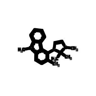 Cc1ccc2c(c1N1C=CN(C)C1(C)C)c1ccccc1n2C